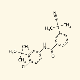 CC(C)(C)c1cc(NC(=O)c2cccc(C(C)(C)C#N)c2)ccc1Cl